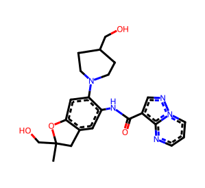 CC1(CO)Cc2cc(NC(=O)c3cnn4cccnc34)c(N3CCC(CO)CC3)cc2O1